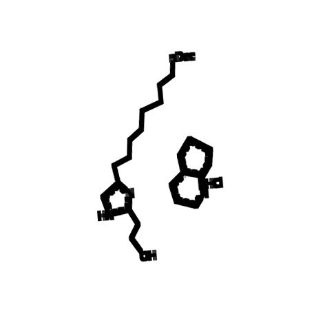 CCCCCCCCCCCCCCCCCCc1c[nH]c(CCO)n1.Cl.c1ccc2ncccc2c1